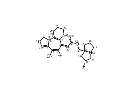 FC1=C(Cl)C2=NOC[C@@H]2C2=C3C1=NC(OC[C@@]14CCCN1C[C@H](F)C4)=NN3CCC2